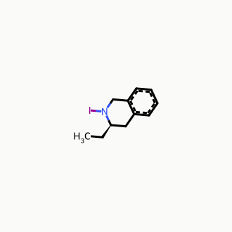 CC[C@@H]1Cc2ccccc2CN1I